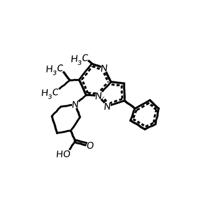 Cc1nc2cc(-c3ccccc3)nn2c(N2CCCC(C(=O)O)C2)c1C(C)C